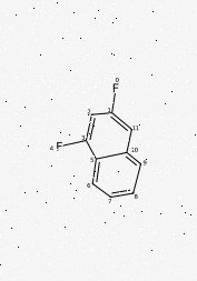 Fc1cc(F)c2ccccc2c1